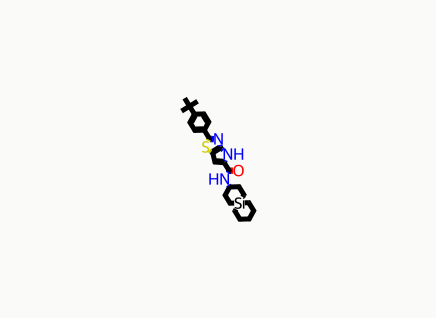 CC(C)(C)c1ccc(-c2nc3[nH]c(C(=O)NC4CC[Si]5(CCCCC5)CC4)cc3s2)cc1